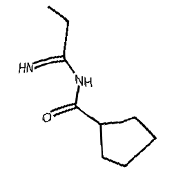 CCC(=N)NC(=O)C1CCCC1